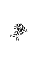 CCOc1ccc(CC(O)(CC(=O)C(=O)N(C)O)c2ccc(O)c(O)c2O)cc1OCC